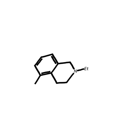 CCN1CCc2c(C)cccc2C1